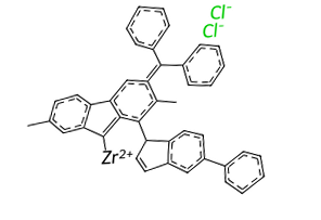 Cc1ccc2c(c1)[C]([Zr+2])=c1c-2cc(=C(c2ccccc2)c2ccccc2)c(C)c1C1C=Cc2cc(-c3ccccc3)ccc21.[Cl-].[Cl-]